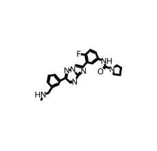 CNCc1cccc(-c2cnc3nc(-c4cc(NC(=O)N5CCCC5)ccc4F)cn3n2)c1